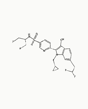 N#Cc1c(-c2ccc(S(=O)(=O)NC(CF)CF)cn2)n(CC2CC2)c2cc(CC(F)F)ccc12